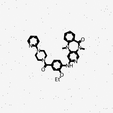 CCOc1cc(C(=O)N2CCN(c3ccccn3)CC2)ccc1Nc1cc2c(cn1)N(C)C(=O)c1ccccc1N2C